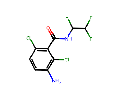 Nc1ccc(Cl)c(C(=O)NC(F)C(F)F)c1Cl